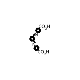 O=C(O)c1ccc(N=Cc2cccc(C=Nc3ccc(C(=O)O)cc3)c2)cc1